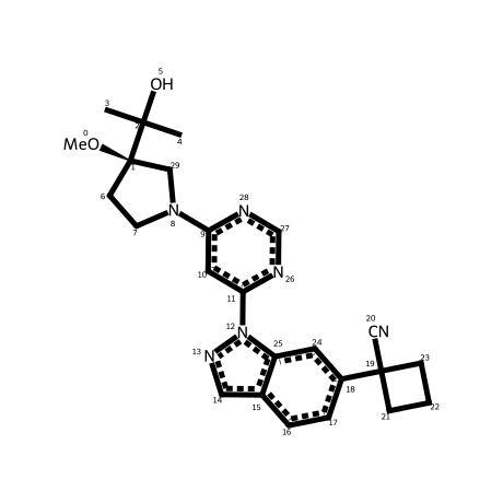 CO[C@]1(C(C)(C)O)CCN(c2cc(-n3ncc4ccc(C5(C#N)CCC5)cc43)ncn2)C1